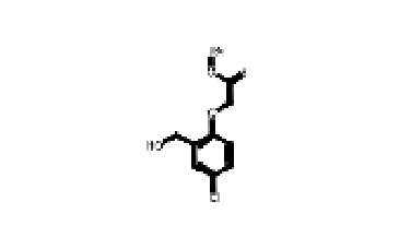 CC(C)(C)OC(=O)COc1ccc(Cl)cc1CO